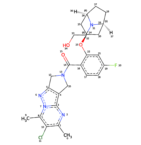 Cc1nc2c3c(nn2c(C)c1Cl)CN(C(=O)c1ccc(F)cc1O[C@H]1C[C@H]2CC[C@@H](C1)N2CCO)C3